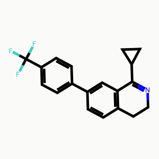 FC(F)(F)c1ccc(-c2ccc3c(c2)C(C2CC2)=NCC3)cc1